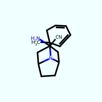 CC1(N2C3CCC2CC(N)(C#N)C3)C=CC=CC1